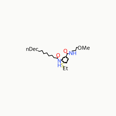 CCCCCCCCCCCCCCCCCC(=O)Nc1cc(C(=O)NCCCOC)ccc1SCC